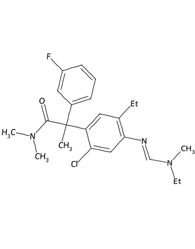 CCc1cc(C(C)(C(=O)N(C)C)c2cccc(F)c2)c(Cl)cc1/N=C/N(C)CC